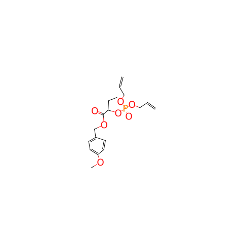 C=CCOP(=O)(OCC=C)OC(CC)C(=O)OCc1ccc(OC)cc1